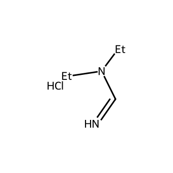 CCN(C=N)CC.Cl